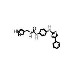 O=C(NCc1cn[nH]c1)Nc1ccc(Nc2ncc(-c3ccccc3)s2)cc1